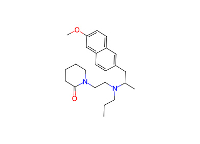 CCCN(CCN1CCCCC1=O)C(C)Cc1ccc2cc(OC)ccc2c1